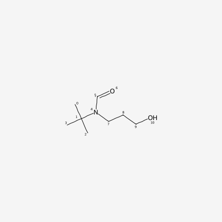 CC(C)(C)N([C]=O)CCCO